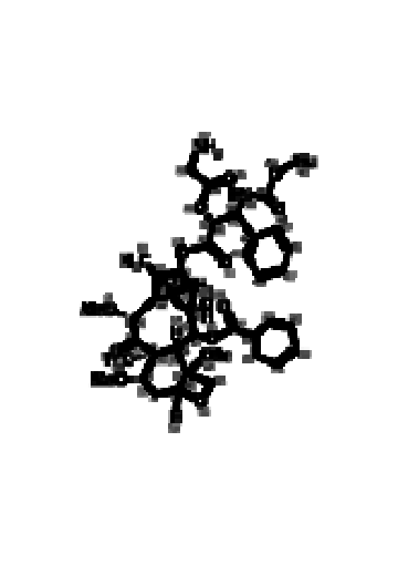 CO[C@H]1C(=O)[C@]2(C)[C@@H](OC)C[C@H]3OC[C@@]3(OC(C)=O)[C@H]2[C@H](OC(=O)c2ccccc2)[C@]2(O)C[C@H](OC(=O)[C@H](OC(=O)CN)[C@@H](NC(=O)OC(C)(C)C)c3ccccc3)C(C)=C1C2(C)C